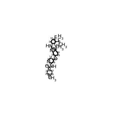 CC(C)c1cc(Nc2nc3cc(Oc4ccnc(NC(=O)N5CCN(C)CC5)c4)ccc3n2C)ccc1F